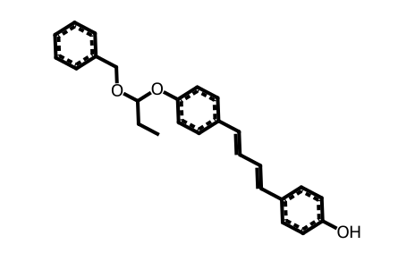 CCC(OCc1ccccc1)Oc1ccc(C=CC=Cc2ccc(O)cc2)cc1